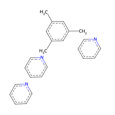 Cc1cc(C)cc(C)c1.c1ccncc1.c1ccncc1.c1ccncc1